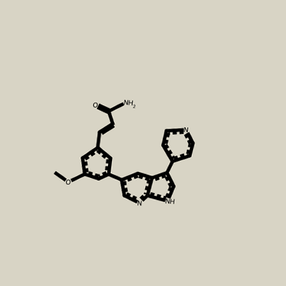 COc1cc(C=CC(N)=O)cc(-c2cnc3[nH]cc(-c4ccncc4)c3c2)c1